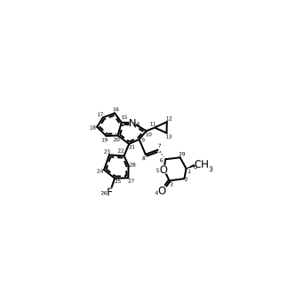 C[C@H]1CC(=O)O[C@H](/C=C/c2c(C3CC3)nc3ccccc3c2-c2ccc(F)cc2)C1